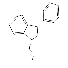 CNC[C@@H]1C[C@@H](c2ccccc2)c2ccccc21